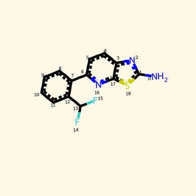 Nc1nc2ccc(-c3ccccc3C(F)F)nc2s1